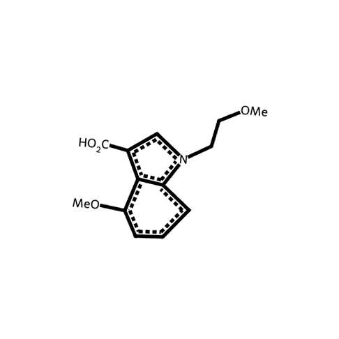 COCCn1cc(C(=O)O)c2c(OC)cccc21